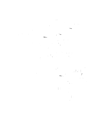 CC[C@H]1C[C@@H]([C@H](c2ccc(F)cc2)[C@@H](C(=O)Nc2cccc(F)c2CC[C@H]2CN[C@@H]3CCCS(O)(O)N2C3)N(C)C(=O)O)CCO1